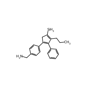 CCCC1=C([SiH3])CC(c2ccc(CN)cc2)=C1c1ccccc1